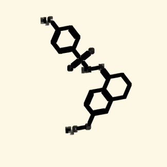 COc1ccc2c(c1)CCC/C2=N/NS(=O)(=O)c1ccc(C)cc1